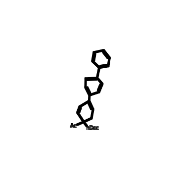 CCCCCCCCCCC1(C(C)=O)C=CC(c2ccc(-c3ccccc3)cc2)=CC1